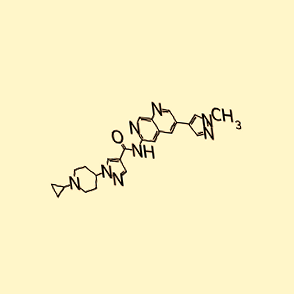 Cn1cc(-c2cnc3cnc(NC(=O)c4cnn(C5CCN(C6CC6)CC5)c4)cc3c2)cn1